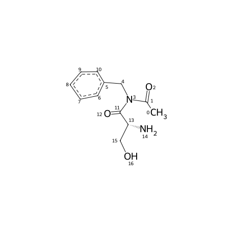 CC(=O)N(Cc1ccccc1)C(=O)[C@H](N)CO